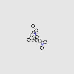 CC1(C)C2=CC(C)(N(c3ccc(-c4ccc5c(c4)c4ccccc4n5-c4ccccc4)cc3)c3cccc(-c4ccccc4)c3)CC=C2c2ccccc21